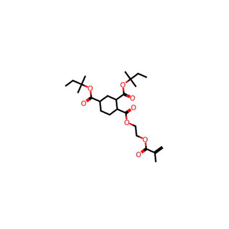 C=C(C)C(=O)OCCOC(=O)C1CCC(C(=O)OC(C)(C)CC)CC1C(=O)OC(C)(C)CC